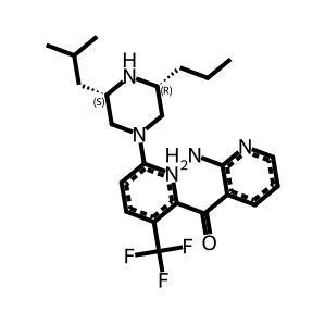 CCC[C@@H]1CN(c2ccc(C(F)(F)F)c(C(=O)c3cccnc3N)n2)C[C@H](CC(C)C)N1